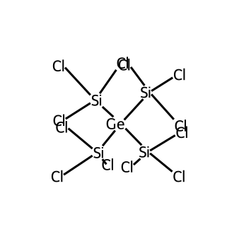 Cl[Si](Cl)(Cl)[Ge]([Si](Cl)(Cl)Cl)([Si](Cl)(Cl)Cl)[Si](Cl)(Cl)Cl